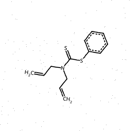 C=CCN(CC=C)C(=S)Sc1ccccc1